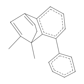 CC1=CC2=CCC1(C)c1c2cccc1-c1ccccc1